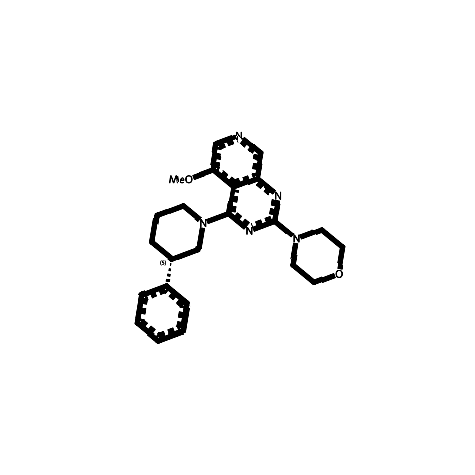 COc1cncc2nc(N3CCOCC3)nc(N3CCC[C@@H](c4[c]cccc4)C3)c12